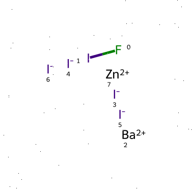 FI.[Ba+2].[I-].[I-].[I-].[I-].[Zn+2]